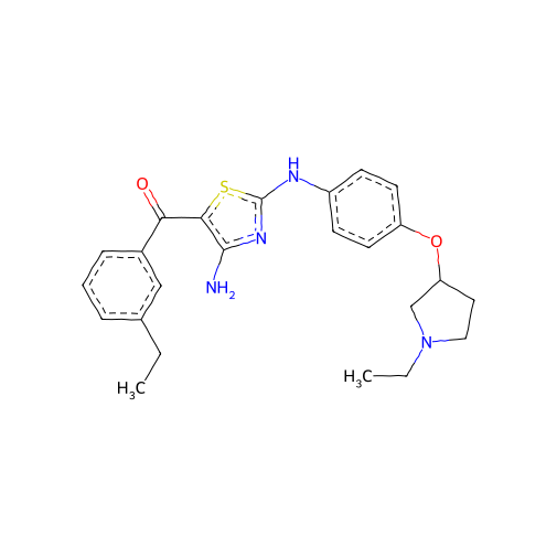 CCc1cccc(C(=O)c2sc(Nc3ccc(OC4CCN(CC)C4)cc3)nc2N)c1